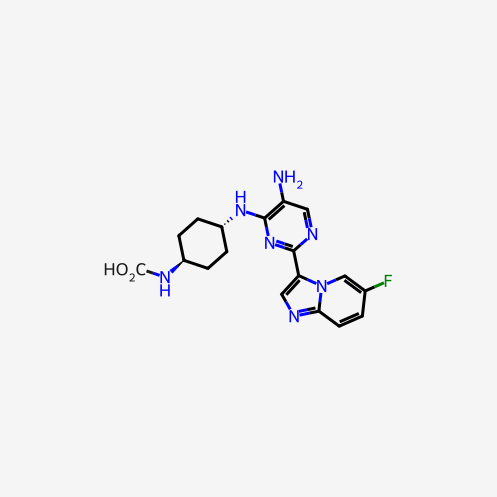 Nc1cnc(-c2cnc3ccc(F)cn23)nc1N[C@H]1CC[C@H](NC(=O)O)CC1